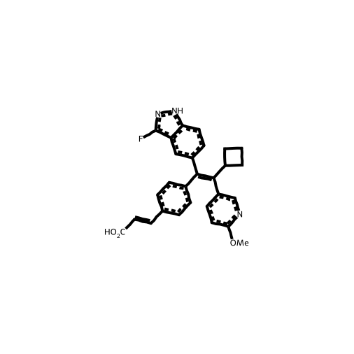 COc1ccc(/C(=C(\c2ccc(/C=C/C(=O)O)cc2)c2ccc3[nH]nc(F)c3c2)C2CCC2)cn1